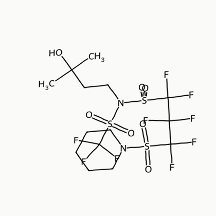 CC(C)(O)CCN(S(=O)(=O)C(F)(F)F)S(=O)(=O)C(F)(F)C(F)(F)C(F)(F)S(=O)(=O)N1CCCCC1